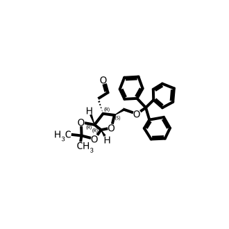 CC1(C)O[C@H]2O[C@H](COC(c3ccccc3)(c3ccccc3)c3ccccc3)[C@@H](CC=O)[C@H]2O1